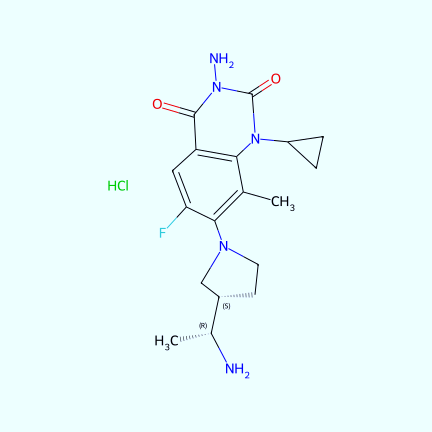 Cc1c(N2CC[C@H]([C@@H](C)N)C2)c(F)cc2c(=O)n(N)c(=O)n(C3CC3)c12.Cl